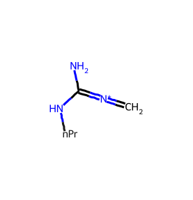 C=[N+]=C(N)NCCC